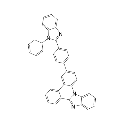 C1=CCC(n2c(-c3ccc(-c4ccc5c(c4)c4ccccc4c4nc6ccccc6n54)cc3)nc3ccccc32)C=C1